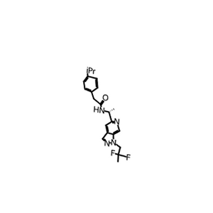 CC(C)c1ccc(CC(=O)N[C@H](C)c2cc3cnn(CC(C)(F)F)c3cn2)cc1